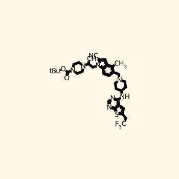 Cc1c(CN2CCC(Nc3ncnc4sc(CC(F)(F)F)cc34)CC2)ccc2c1cc(C#N)n2CC(C)N1CCN(C(=O)OC(C)(C)C)CC1